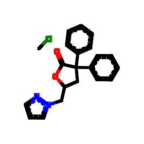 CCl.O=C1OC(Cn2cccn2)CC1(c1ccccc1)c1ccccc1